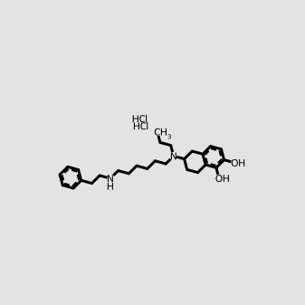 CCCN(CCCCCCNCCc1ccccc1)C1CCc2c(ccc(O)c2O)C1.Cl.Cl